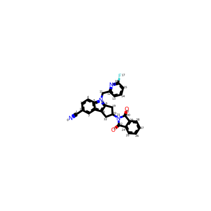 N#Cc1ccc2c(c1)c1c(n2Cc2cccc(F)n2)CC(N2C(=O)c3ccccc3C2=O)C1